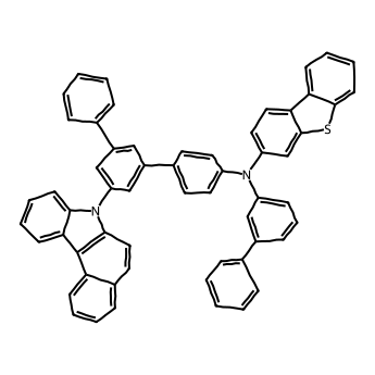 c1ccc(-c2cccc(N(c3ccc(-c4cc(-c5ccccc5)cc(-n5c6ccccc6c6c7ccccc7ccc65)c4)cc3)c3ccc4c(c3)sc3ccccc34)c2)cc1